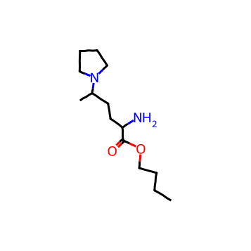 CCCCOC(=O)C(N)CCC(C)N1CCCC1